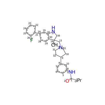 CC(C)C(=O)Nc1cccc(C2CCN(CC3(C)CNc4cc(-c5ccccc5F)ccc43)CC2)c1